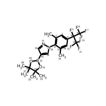 Cc1cc(C(F)(C(F)(F)F)C(F)(F)F)cc(C)c1-n1cc(B2OC(C)(C)C(C)(C)O2)cn1